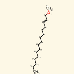 [CH2]OCC=CCCCCCCCCCCCCC